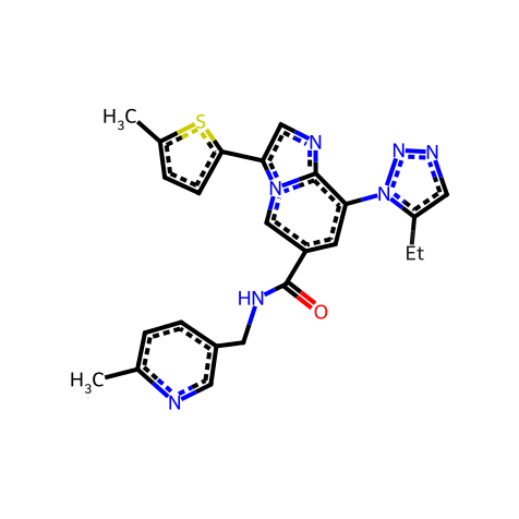 CCc1cnnn1-c1cc(C(=O)NCc2ccc(C)nc2)cn2c(-c3ccc(C)s3)cnc12